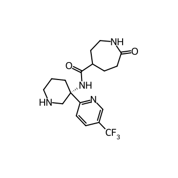 O=C1CCC(C(=O)N[C@@]2(c3ccc(C(F)(F)F)cn3)CCCNC2)CCN1